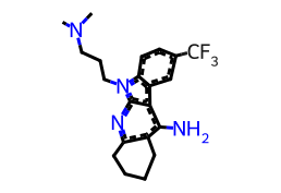 CN(C)CCCn1c2ccc(C(F)(F)F)cc2c2c(N)c3c(nc21)CCCC3